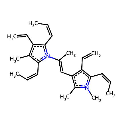 C=Cc1c(/C=C(\C)n2c(/C=C\C)c(C)c(C=C)c2/C=C\C)c(C)n(C)c1/C=C\C